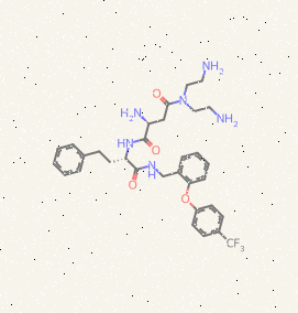 NCCN(CCN)C(=O)C[C@H](N)C(=O)N[C@@H](CCc1ccccc1)C(=O)NCc1ccccc1Oc1ccc(C(F)(F)F)cc1